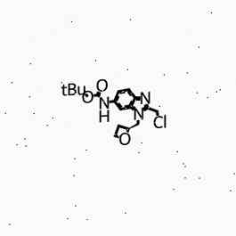 CC(C)(C)OC(=O)Nc1ccc2nc(CCl)n(C[C@@H]3CCO3)c2c1